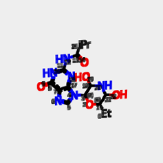 CC[C@H]1O[C@@H](n2cnc3c(=O)[nH]c(NC(=O)C(C)C)nc32)C(O)NC1O